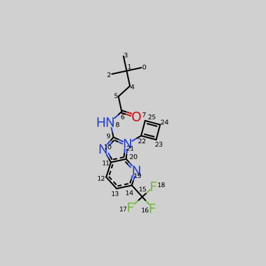 CC(C)(C)CCC(=O)Nc1nc2ccc(C(F)(F)F)nc2n1C1=CC=C1